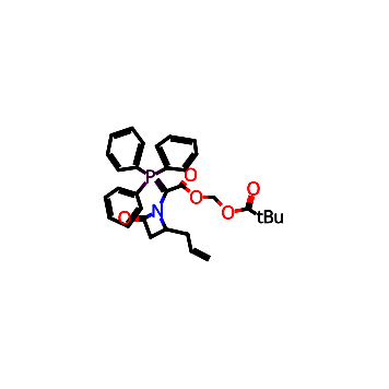 C=CCC1CC(=O)N1C(C(=O)OCOC(=O)C(C)(C)C)=P(c1ccccc1)(c1ccccc1)c1ccccc1